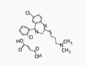 CN(C)CCCSC1=Nc2ccc(Cl)cc2C(c2ccccc2Cl)=NC1.O=C(O)/C=C/C(=O)O